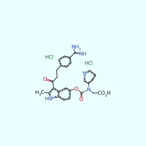 Cc1[nH]c2ccc(OC(=O)N(CC(=O)O)c3cccnc3)cc2c1C(=O)CCc1ccc(C(=N)N)cc1.Cl.Cl